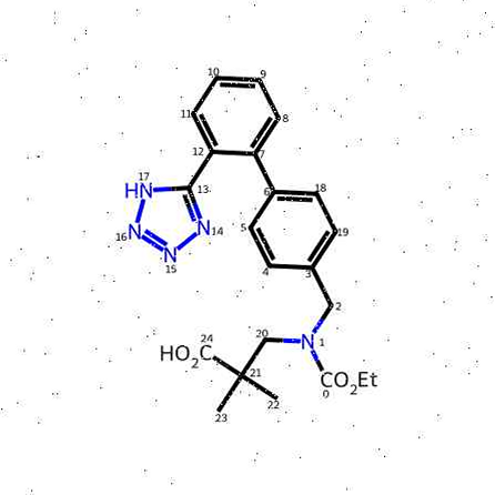 CCOC(=O)N(Cc1ccc(-c2ccccc2-c2nnn[nH]2)cc1)CC(C)(C)C(=O)O